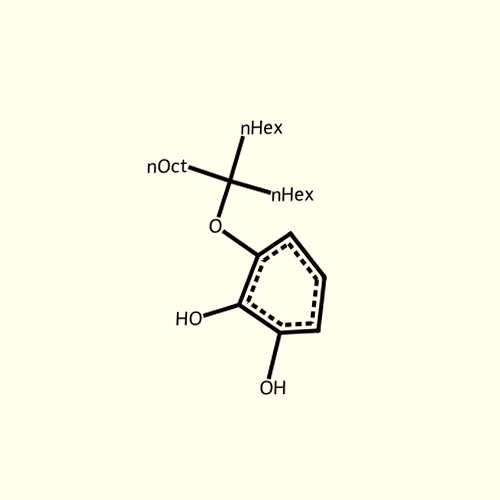 CCCCCCCCC(CCCCCC)(CCCCCC)Oc1cccc(O)c1O